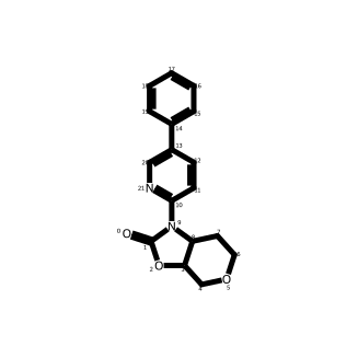 O=C1OC2COCCC2N1c1ccc(-c2ccccc2)cn1